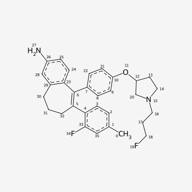 Cc1ccc(C2=C(c3ccc(OC4CCN(CCCF)C4)cc3)c3ccc(N)cc3CCC2)c(F)c1